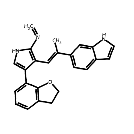 C=Nc1[nH]cc(-c2cccc3c2OCC3)c1/C=C(\C)c1ccc2cc[nH]c2c1